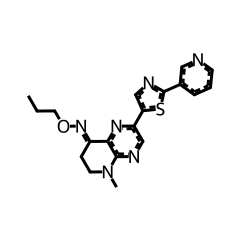 CCCO/N=C1\CCN(C)c2ncc(-c3cnc(-c4cccnc4)s3)nc21